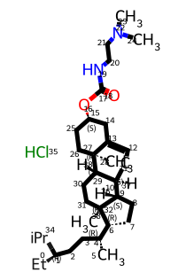 CC[C@H](CC[C@@H](C)[C@H]1CC[C@H]2[C@@H]3CC=C4C[C@@H](OC(=O)NCCN(C)C)CC[C@]4(C)[C@H]3CC[C@]12C)C(C)C.Cl